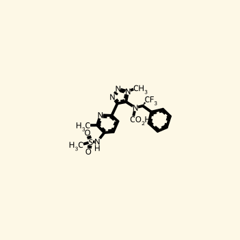 Cc1nc(-c2nnn(C)c2N(C(=O)O)[C@@H](c2ccccc2)C(F)(F)F)ccc1NS(C)(=O)=O